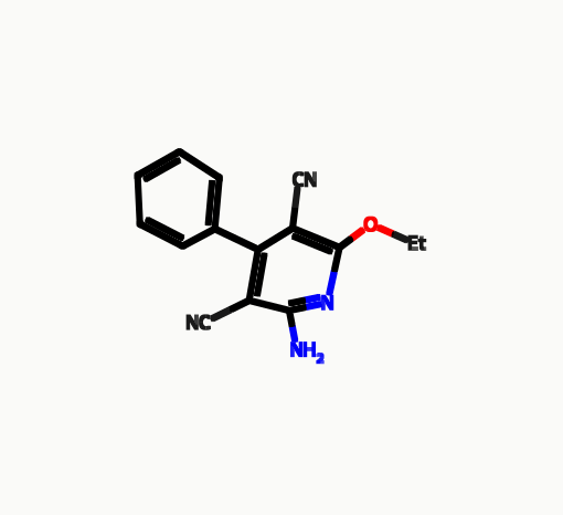 [CH2]COc1nc(N)c(C#N)c(-c2ccccc2)c1C#N